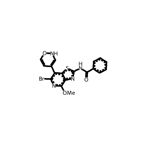 COc1nc(Br)c(C2=CNOC=C2)c2sc(NC(=O)c3ccccc3)nc12